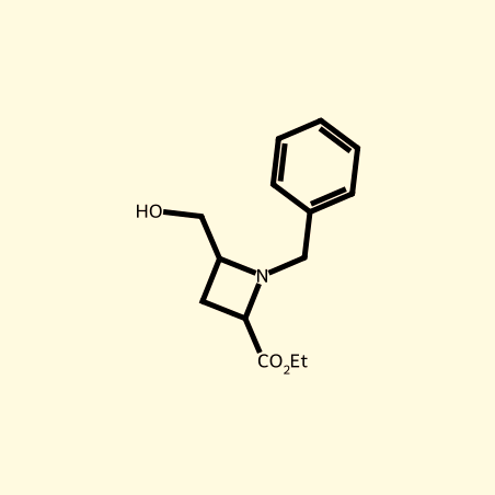 CCOC(=O)C1CC(CO)N1Cc1ccccc1